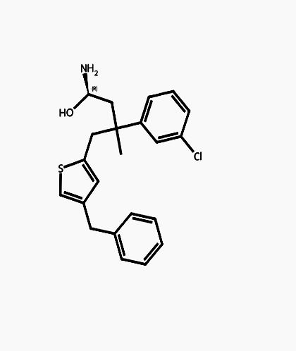 CC(Cc1cc(Cc2ccccc2)cs1)(C[C@H](N)O)c1cccc(Cl)c1